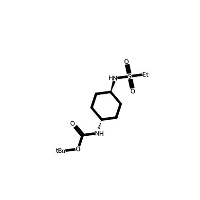 CCS(=O)(=O)N[C@H]1CC[C@H](NC(=O)OC(C)(C)C)CC1